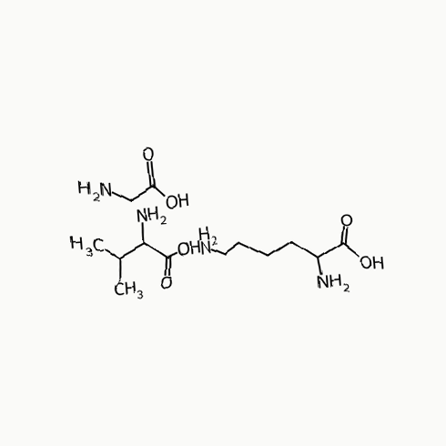 CC(C)C(N)C(=O)O.NCC(=O)O.NCCCCC(N)C(=O)O